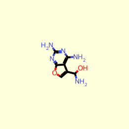 Nc1nc(N)c2c(C(N)O)coc2n1